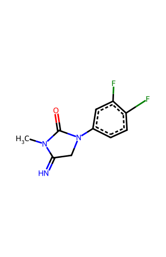 CN1C(=N)CN(c2ccc(F)c(F)c2)C1=O